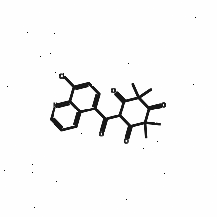 CC1(C)C(=O)C(C(=O)c2ccc(Cl)c3ncccc23)C(=O)C(C)(C)C1=O